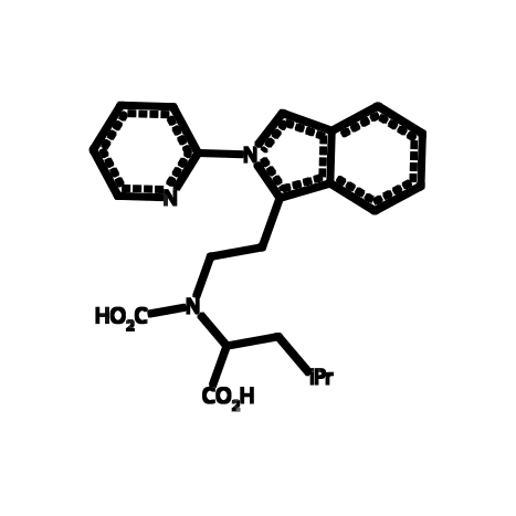 CC(C)CC(C(=O)O)N(CCc1c2ccccc2cn1-c1ccccn1)C(=O)O